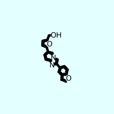 OCc1ccc(-c2ccc3nc(-c4ccc5occc5c4)cn3c2)o1